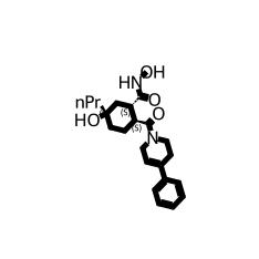 CCC[C@]1(O)CC[C@H](C(=O)N2CC=C(c3ccccc3)CC2)[C@@H](C(=O)NO)C1